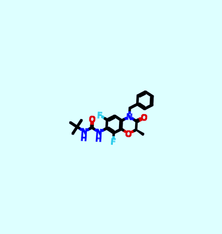 C[C@H]1Oc2c(cc(F)c(NC(=O)NC(C)(C)C)c2F)N(Cc2ccccc2)C1=O